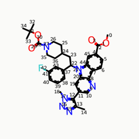 COC(=O)c1ccc2c3ncc(-c4c(C)nnn4C)cc3n(C(CC3CCN(C(=O)OC(C)(C)C)CC3)c3cccc(F)c3)c2c1